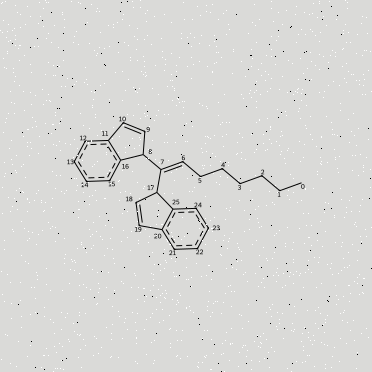 CCCCCCC=C(C1C=Cc2ccccc21)C1C=Cc2ccccc21